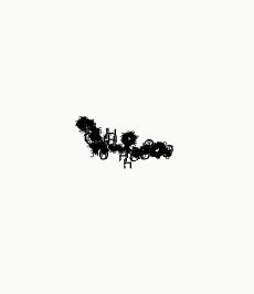 COc1ccc(S(=O)(=O)C[C@](C)(O)CN[C@@H](CCCNC(=O)[C@@H](NC(=O)CN2CCCC2)C(C)C)c2ccccc2)cc1